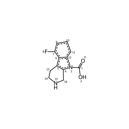 O=C(O)n1c2c(c3c(F)cccc31)CCNC2